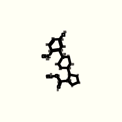 CC(C)(C)OC(=O)N1CCCC1C1CCN(c2cc(Cl)ccc2C=O)CC1